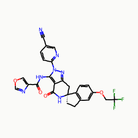 N#Cc1ccc(-n2nc3c(c2NC(=O)c2cocn2)C(=O)N[C@@]2(CCc4cc(OCC(F)(F)F)ccc42)C3)nc1